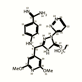 CC(=O)O.COc1cc([C@H](Nc2ccc(C(=N)N)cc2)c2nn(-c3cccnn3)c(=O)[nH]2)cc(OC)n1